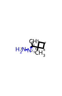 C/C(=N\N)C1(C)CCC1